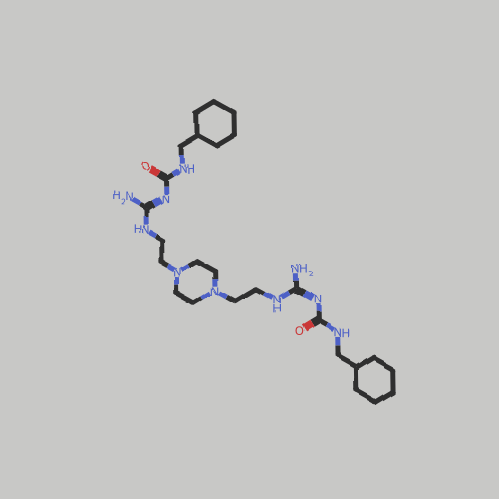 NC(=NC(=O)NCC1CCCCC1)NCCN1CCN(CCNC(N)=NC(=O)NCC2CCCCC2)CC1